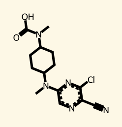 CN(C(=O)O)C1CCC(N(C)c2cnc(C#N)c(Cl)n2)CC1